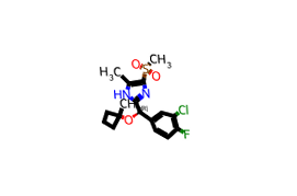 Cc1[nH]c([C@H](OC2(C)CCC2)c2ccc(F)c(Cl)c2)nc1S(C)(=O)=O